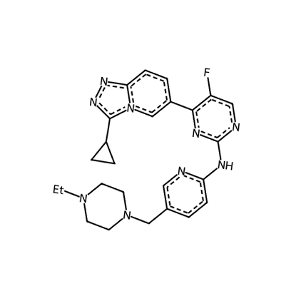 CCN1CCN(Cc2ccc(Nc3ncc(F)c(-c4ccc5nnc(C6CC6)n5c4)n3)nc2)CC1